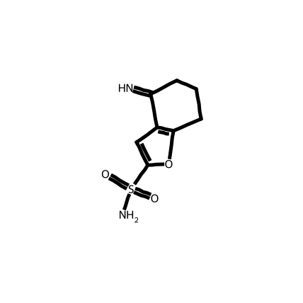 N=C1CCCc2oc(S(N)(=O)=O)cc21